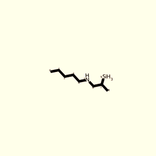 CCCCCNCC(C)[SiH3]